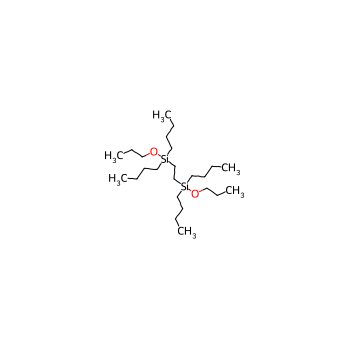 CCCC[Si](CCCC)(CC[Si](CCCC)(CCCC)OCCC)OCCC